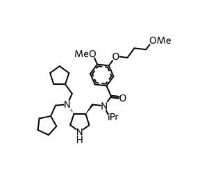 COCCCOc1cc(C(=O)N(C[C@H]2CNC[C@@H]2N(CC2CCCC2)CC2CCCC2)C(C)C)ccc1OC